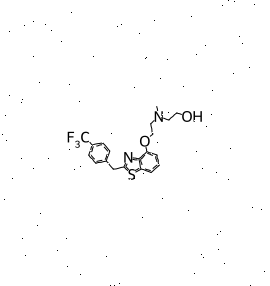 CN(CCO)CCOc1cccc2sc(Cc3ccc(C(F)(F)F)cc3)nc12